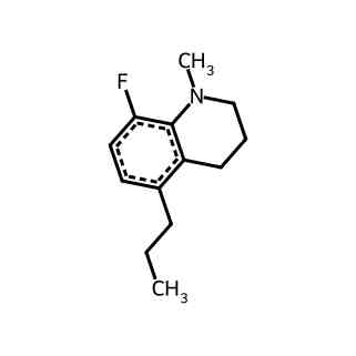 CCCc1ccc(F)c2c1CCCN2C